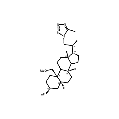 CCC[C@H]1CC[C@]2(COC)C3CC[C@@]4(C)C(CC[C@@H]4[C@H](C)Cn4nnnc4C)[C@@H]3CC[C@@H]2C1